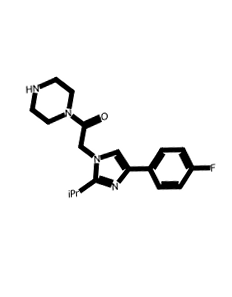 CC(C)c1nc(-c2ccc(F)cc2)cn1CC(=O)N1CCNCC1